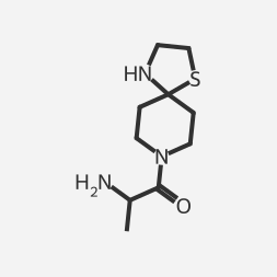 CC(N)C(=O)N1CCC2(CC1)NCCS2